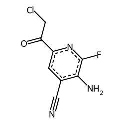 N#Cc1cc(C(=O)CCl)nc(F)c1N